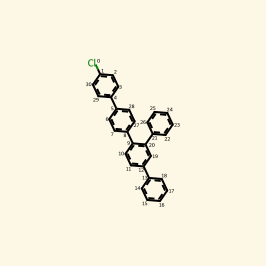 Clc1ccc(-c2ccc(-c3ccc(-c4ccccc4)cc3-c3ccccc3)cc2)cc1